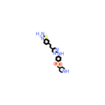 Nc1nc2ccc(C=Cc3cnc(Nc4ccc(S(=O)(=O)CC5CCNCC5)cc4)nc3)cc2s1